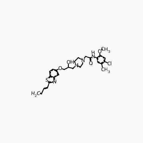 C=CC=Cc1nc2cc(OCC(O)CN3CCN(CC(=O)Nc4cc(C)c(Cl)cc4OC)CC3)ccc2s1